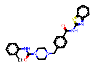 CCc1ccccc1NC(=O)N1CCN(Cc2ccc(C(=O)Nc3nc4ccccc4s3)cc2)CC1